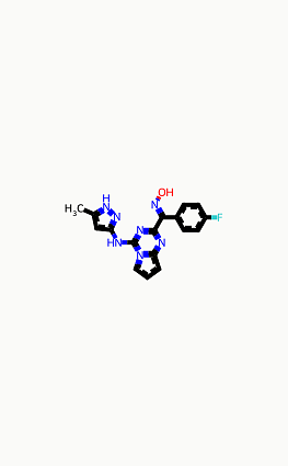 Cc1cc(Nc2nc(C(=NO)c3ccc(F)cc3)nc3cccn23)n[nH]1